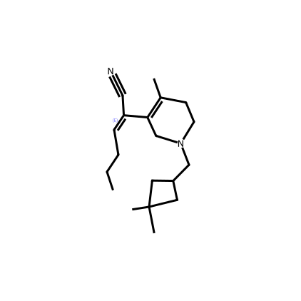 CCC/C=C(/C#N)C1=C(C)CCN(CC2CC(C)(C)C2)C1